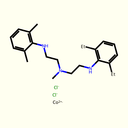 CCc1cccc(CC)c1NCCN(C)CCNc1c(C)cccc1C.[Cl-].[Cl-].[Co+2]